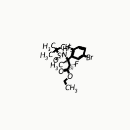 CCOC(=O)[C@@H](F)[C@](C)(N[S+]([O-])C(C)(C)C)c1cc(Br)ccc1F